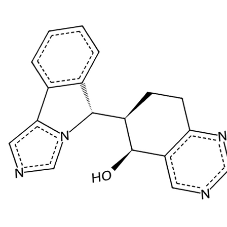 O[C@@H]1c2cncnc2CC[C@@H]1[C@H]1c2ccccc2-c2cncn21